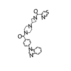 O=C(c1ccc(-n2cnc3ccccc32)cc1)N1CCN(C2CN(C(=O)c3cscn3)C2)CC1